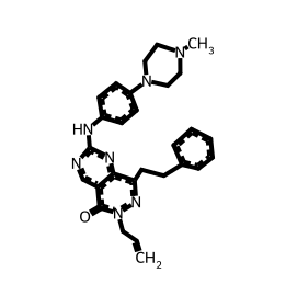 C=CCn1nc(CCc2ccccc2)c2nc(Nc3ccc(N4CCN(C)CC4)cc3)ncc2c1=O